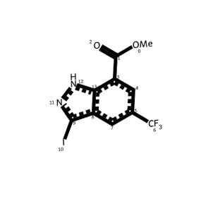 COC(=O)c1cc(C(F)(F)F)cc2c(I)n[nH]c12